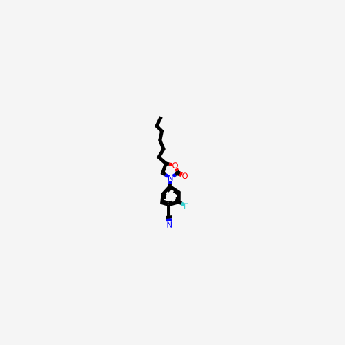 CCCCCCC1CN(c2ccc(C#N)c(F)c2)C(=O)O1